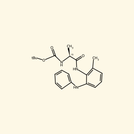 Cc1cccc(Nc2ccccc2)c1NC(=O)[C@H](C)NC(=O)OC(C)(C)C